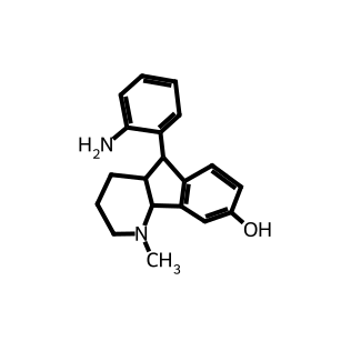 CN1CCCC2C(c3ccccc3N)c3ccc(O)cc3C21